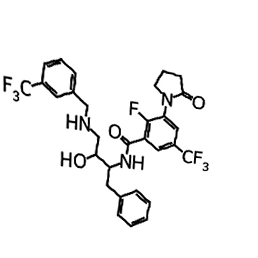 O=C(NC(Cc1ccccc1)C(O)CNCc1cccc(C(F)(F)F)c1)c1cc(C(F)(F)F)cc(N2CCCC2=O)c1F